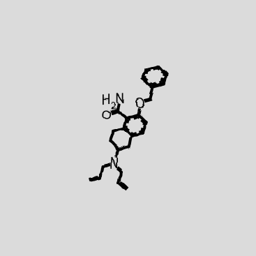 C=CCN(CC=C)C1CCc2c(ccc(OCc3ccccc3)c2C(N)=O)C1